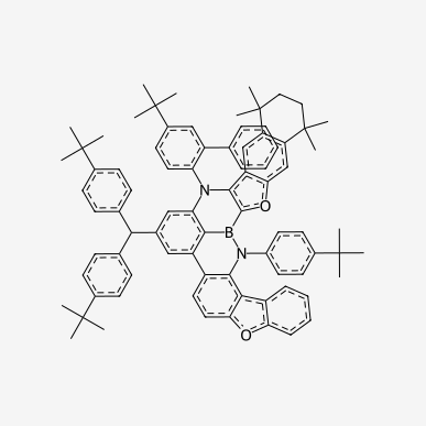 CC(C)(C)c1ccc(C(c2ccc(C(C)(C)C)cc2)c2cc3c4c(c2)N(c2ccc(C(C)(C)C)cc2-c2ccccc2)c2c(oc5cc6c(cc25)C(C)(C)CCC6(C)C)B4N(c2ccc(C(C)(C)C)cc2)c2c-3ccc3oc4ccccc4c23)cc1